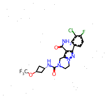 NC(=O)c1c(-c2ccc(F)c(Cl)c2)nn2c1CN(C(=O)N[C@H]1C[C@H](OC(F)(F)F)C1)CC2